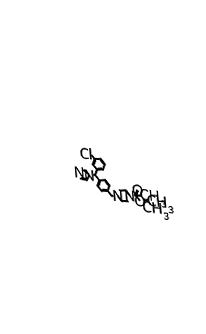 CC(C)(C)OC(=O)N1CCN(Cc2ccc(C(c3cccc(Cl)c3)n3ccnc3)cc2)CC1